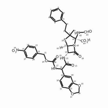 CC1(CCc2ccccc2)S[C@@H]2[C@@H](NC(=O)C(NC(=O)OCc3ccc([N+](=O)[O-])cc3)c3ccc4c(c3)OCO4)C(=O)N2[C@@]1(NC=O)C(=O)O